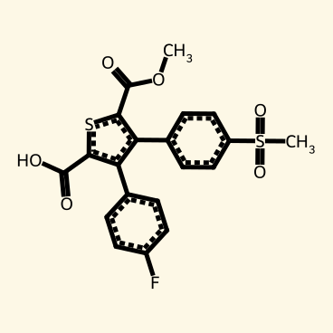 COC(=O)c1sc(C(=O)O)c(-c2ccc(F)cc2)c1-c1ccc(S(C)(=O)=O)cc1